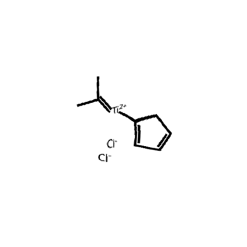 C[C](C)=[Ti+2][C]1=CC=CC1.[Cl-].[Cl-]